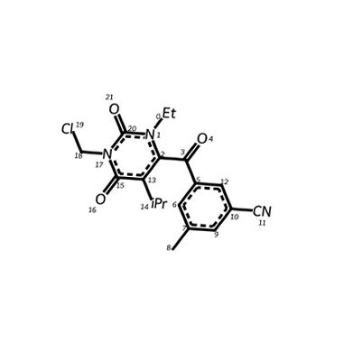 CCn1c(C(=O)c2cc(C)cc(C#N)c2)c(C(C)C)c(=O)n(CCl)c1=O